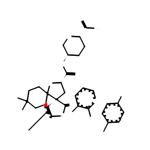 CC1(C)CCC2(CC1)N[C@@H](C(=O)N[C@@H]1CC[C@@H](C(N)=O)OC1)[C@H](c1ccnc(Cl)c1F)[C@]21C(=O)Nc2cc(Cl)ccc21.Cc1ccc(S(=O)(=O)O)cc1.O